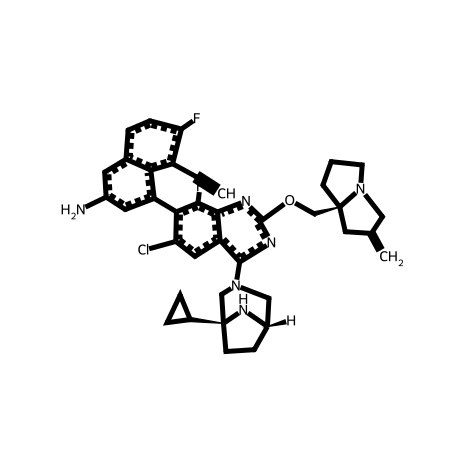 C#Cc1c(F)ccc2cc(N)cc(-c3c(Cl)cc4c(N5C[C@@H]6CC[C@](C7CC7)(C5)N6)nc(OC[C@@]56CCCN5CC(=C)C6)nc4c3F)c12